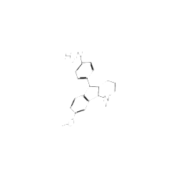 COc1ccc2c(c1)C1C(CCCN1C)C2c1ccc(N)cc1